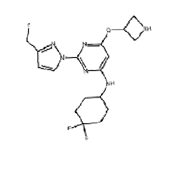 FCc1ccn(-c2nc(NC3CCC(F)(F)CC3)cc(OC3CNC3)n2)n1